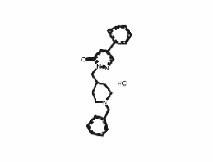 Cl.O=c1cc(-c2ccccc2)cnn1CC1CCN(Cc2ccccc2)CC1